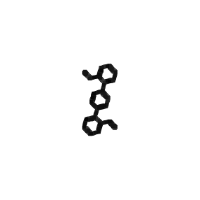 C=Cc1ccccc1-c1ccc(-c2ccccc2C=C)cc1